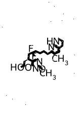 COc1ncc([C@@H](CC(=O)O)CC(F)(F)CCCCc2nc3c(cc2C)CCCN3)cn1